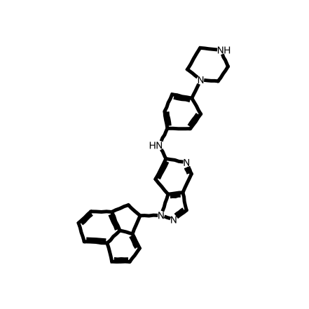 c1cc2c3c(cccc3c1)C(n1ncc3cnc(Nc4ccc(N5CCNCC5)cc4)cc31)C2